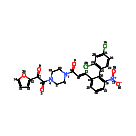 O=C(C(=O)N1CCN(C(=O)/C=C/c2cc[c]c([N+](=O)[O-])c2-c2ccc(Cl)cc2Cl)CC1)c1ccco1